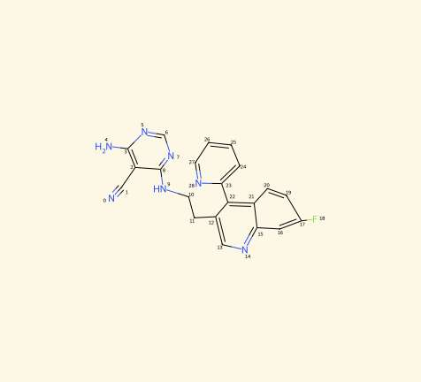 N#Cc1c(N)ncnc1NCCc1cnc2cc(F)ccc2c1-c1ccccn1